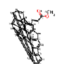 COC(=O)CCCC1(c2ccccc2)C23C=c4c5cc6c7cc8c9c%10c(cc2c2c%10c%10c(c4c5c4c6c7c9c%104)C231)C8